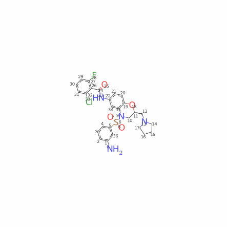 Nc1cccc(S(=O)(=O)N2C[C@H](CN3CCCC3)Oc3ccc(NC(=O)c4c(F)cccc4Cl)cc32)c1